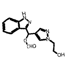 O=COC(c1cnn(CCO)c1)c1n[nH]c2ccccc12